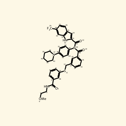 COCCNC(=O)c1cccc(SCc2cccc(C(=O)N(C(=O)c3cc4ccc(C(F)(F)F)cc4[nH]3)c3ccc(N4CCCCC4)cc3)c2)c1